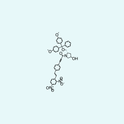 COc1ccc(C(OC[C@@H]2C[C@@H](O)CN2C(=O)C#Cc2ccc(/C=C/c3ccc([N+](=O)[O-])cc3[N+](=O)[O-])cc2)(c2ccccc2)c2ccc(OC)cc2)cc1